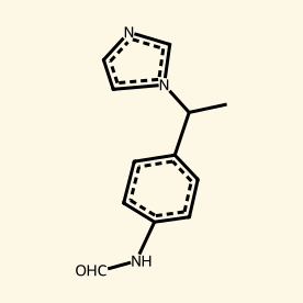 CC(c1ccc(NC=O)cc1)n1ccnc1